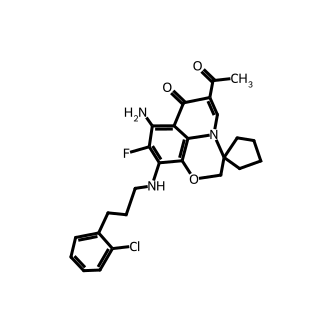 CC(=O)c1cn2c3c(c(NCCCc4ccccc4Cl)c(F)c(N)c3c1=O)OCC21CCCC1